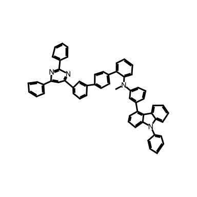 CN(c1cccc(-c2cccc3c2c2ccccc2n3-c2ccccc2)c1)c1ccccc1-c1ccc(-c2cccc(-c3cc(-c4ccccc4)nc(-c4ccccc4)n3)c2)cc1